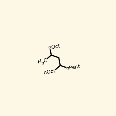 CCCCCCCCC(C)CC(CCCCC)CCCCCCCC